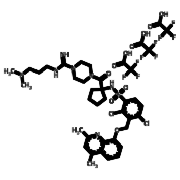 Cc1cc(C)c2cccc(OCc3c(Cl)ccc(S(=O)(=O)NC4(C(=O)N5CCN(C(=N)NCCCN(C)C)CC5)CCCC4)c3Cl)c2n1.O=C(O)C(F)(F)F.O=C(O)C(F)(F)F.O=C(O)C(F)(F)F